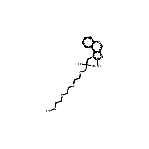 CCCCc1nc2cnc3ccccc3c2n1CC(C)(C)COCCOCCOCCOCCC